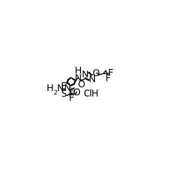 Cl.NC1=N[C@@]2(c3cc(NC(=O)c4cnc(OCC5CC5(F)F)cn4)ccc3F)COC[C@@]2(F)CS1